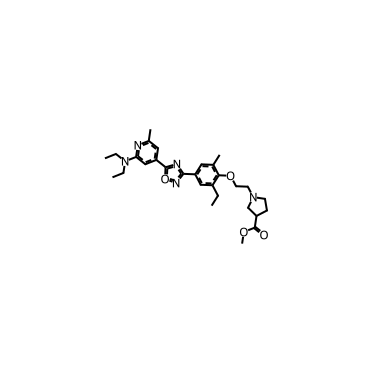 CCc1cc(-c2noc(-c3cc(C)nc(N(CC)CC)c3)n2)cc(C)c1OCCN1CCC(C(=O)OC)C1